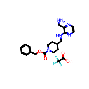 NCc1nccnc1NCC1CCN(C(=O)OCc2ccccc2)CC1.O=C(O)C(F)(F)F